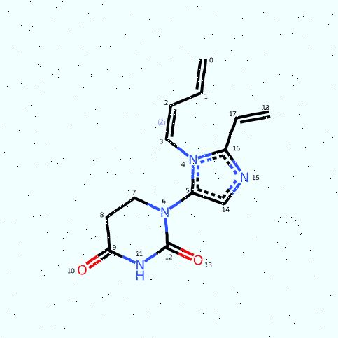 C=C/C=C\n1c(N2CCC(=O)NC2=O)cnc1C=C